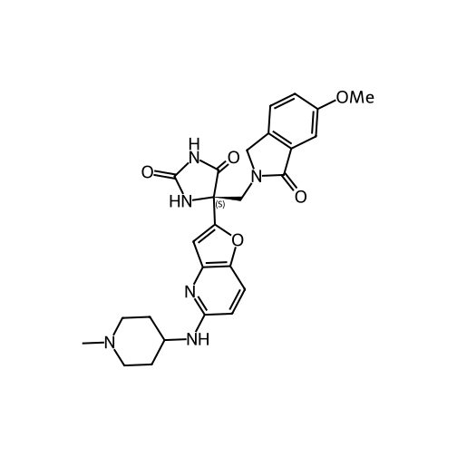 COc1ccc2c(c1)C(=O)N(C[C@@]1(c3cc4nc(NC5CCN(C)CC5)ccc4o3)NC(=O)NC1=O)C2